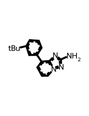 CC(C)(C)c1cccc(-c2cccn3nc(N)nc23)c1